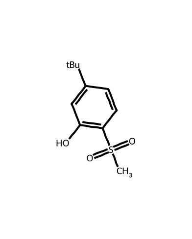 CC(C)(C)c1ccc(S(C)(=O)=O)c(O)c1